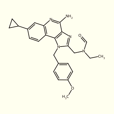 CCN(C=O)Cc1nc2c(N)nc3cc(C4CC4)ccc3c2n1Cc1ccc(OC)cc1